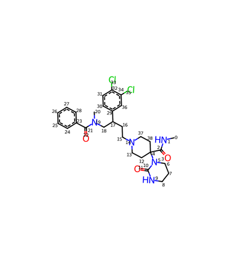 CNC(=O)C1(N2CCCNC2=O)CCN(CCC(CN(C)C(=O)c2ccccc2)c2ccc(Cl)c(Cl)c2)CC1